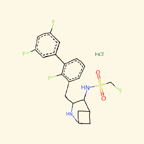 Cl.O=S(=O)(CF)NC1C2CC(C2)NC1Cc1cccc(-c2cc(F)cc(F)c2)c1F